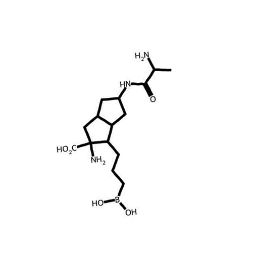 CC(N)C(=O)NC1CC2CC(N)(C(=O)O)C(CCCB(O)O)C2C1